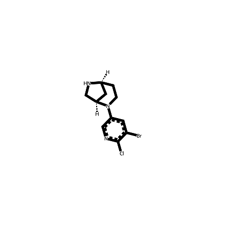 Clc1ncc(N2CC[C@H]3C[C@@H]2CN3)cc1Br